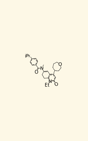 CCn1c2c(c(C3CCCOCC3)cc1=O)C=C(N(C)C(=O)c1ccc(C(C)C)cc1)CC2